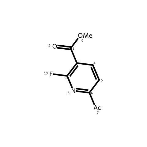 COC(=O)c1ccc(C(C)=O)nc1F